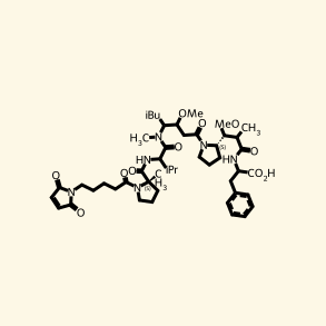 CCC(C)C(C(CC(=O)N1CCC[C@H]1C(OC)C(C)C(=O)NC(Cc1ccccc1)C(=O)O)OC)N(C)C(=O)C(NC(=O)[C@]1(C)CCCN1C(=O)CCCCN1C(=O)C=CC1=O)C(C)C